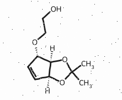 CC1(C)O[C@@H]2[C@@H](OCCO)C=C[C@@H]2O1